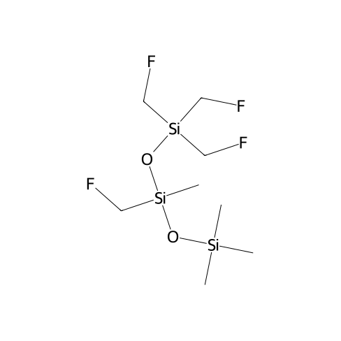 C[Si](C)(C)O[Si](C)(CF)O[Si](CF)(CF)CF